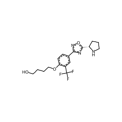 OCCCCOc1ccc(-c2noc([C@@H]3CCCN3)n2)cc1C(F)(F)F